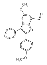 COc1ccc(-c2oc3c(C=O)cc(OC)cc3c2-c2ccccc2)cc1